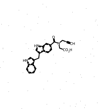 C#CCN(CC(=O)O)C(=O)c1ccc2c(Cc3c[nH]c4ccccc34)c[nH]c2c1